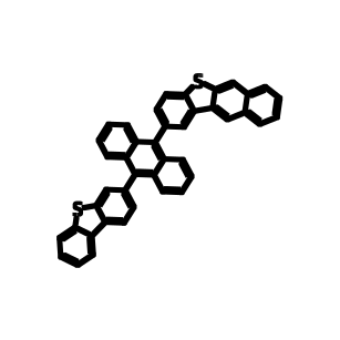 c1ccc2cc3c(cc2c1)sc1ccc(-c2c4ccccc4c(-c4ccc5c(c4)sc4ccccc45)c4ccccc24)cc13